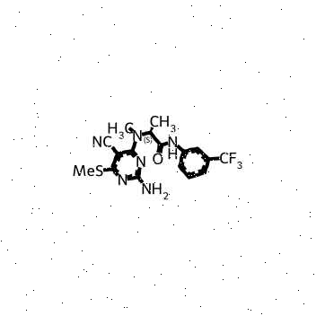 CSc1nc(N)nc(N(C)[C@@H](C)C(=O)Nc2cccc(C(F)(F)F)c2)c1C#N